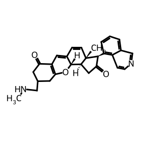 CNCC1CC(=O)C2=C(C1)O[C@@H]1C(=C2)C=C[C@]2(C)[C@@H](c3cccc4cnccc34)C(=O)C[C@@H]12